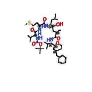 CSCC[C@H](NC(=O)[C@@H](NC(=O)OC(C)(C)C)C(C)C)C(=O)N[C@@H](CC(C)C)[C@@H](O)C[C@@H](C)C(=O)N[C@@H](C(C)C)[C@@H]1C[C@H](Cc2ccccc2)CCO1